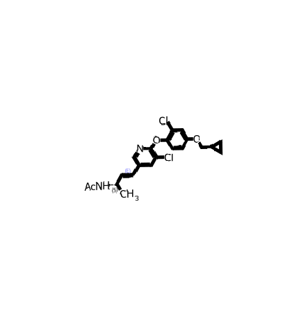 CC(=O)N[C@@H](C)/C=C/c1cnc(Oc2ccc(OCC3CC3)cc2Cl)c(Cl)c1